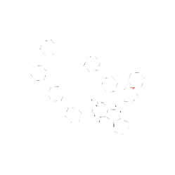 c1ccc(-c2cccc(-c3ccc(-c4cccc(-c5nc(-c6cc(-c7ccccc7)cc(-c7ccccc7)c6)c6c(n5)c5ccccc5n6-c5ccccc5)c4)cc3)c2)cc1